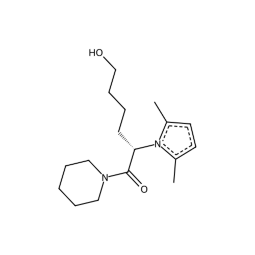 Cc1ccc(C)n1[C@@H](CCCCO)C(=O)N1CCCCC1